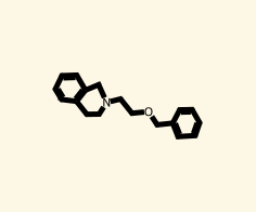 [c]1cccc2c1CCN(CCOCc1ccccc1)C2